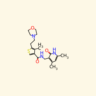 Cc1cc(C)c(CNC(=O)c2csc(CCN3CCOCC3)c2C)c(=O)[nH]1